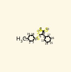 Cc1ccc(Sc2ssc(=S)c2-c2ccccc2)cc1